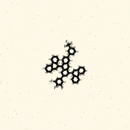 Fc1cc(-c2cc(-c3cc4ccccc4c4ccccc34)c3cc4cc(-c5cccc(C(F)(F)F)c5)ccc4c(-c4cc5ccccc5c5ccccc45)c3c2)cc(F)c1F